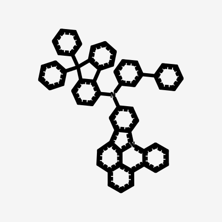 c1ccc(-c2cccc(N(c3ccc4c(c3)c3ccc5cccc6c7ccccc7n4c3c56)c3cccc4c3-c3ccccc3C4(c3ccccc3)c3ccccc3)c2)cc1